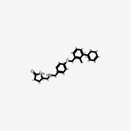 Cc1c(COc2ccc(CNCC3CCC(=O)N3)cc2)cccc1C1=CC=CCC1